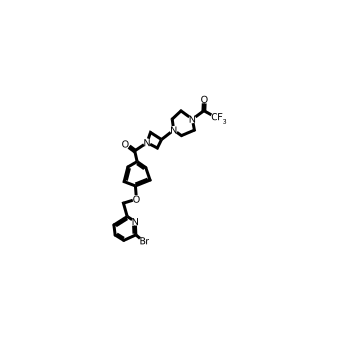 O=C(c1ccc(OCc2cccc(Br)n2)cc1)N1CC(N2CCN(C(=O)C(F)(F)F)CC2)C1